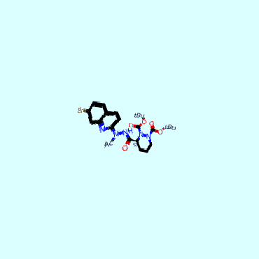 CC(=O)N(NC(=O)[C@@H]1CCCN(C(=O)OC(C)(C)C)N1C(=O)OC(C)(C)C)c1ccc2ccc(Br)cc2n1